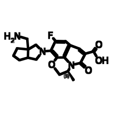 C[C@H]1COc2c(N3CC4CCCC4(CN)C3)c(F)cc3cc(C(=O)O)c(=O)n1c23